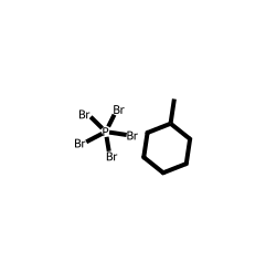 BrP(Br)(Br)(Br)Br.CC1CCCCC1